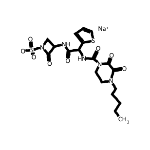 CCCCCN1CCN(C(=O)NC(C(=O)NC2CN(S(=O)(=O)[O-])C2=O)c2cccs2)C(=O)C1=O.[Na+]